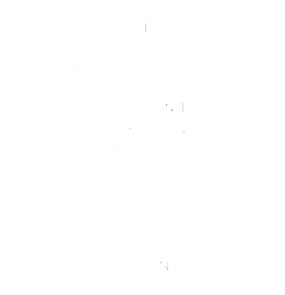 COc1cc2[nH]c(C)c(-c3ccc(-c4ccncc4)cc3)c(=O)c2cc1Cl